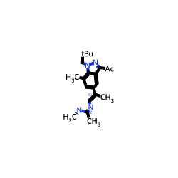 C=N/C(C)=N\C=C(/C)c1cc(C)c2c(c1)c(C(C)=O)nn2CC(C)(C)C